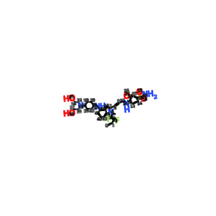 C=CC(F)(F)Cn1c(C#CCNc2ccc(S(N)(=O)=O)cc2OC)cc2c(N[C@H]3CC[C@@H](N(CCO)CCO)CC3)cccc21